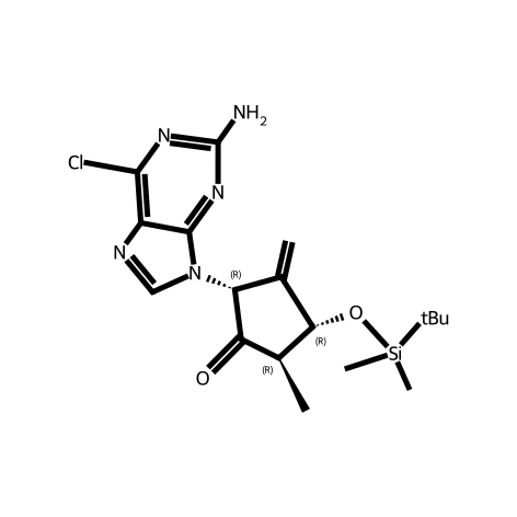 C=C1[C@@H](n2cnc3c(Cl)nc(N)nc32)C(=O)[C@H](C)[C@H]1O[Si](C)(C)C(C)(C)C